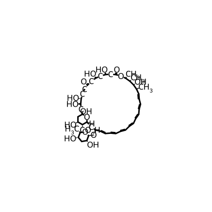 C[C@@H]1[C@H](O)[C@@H](C)/C=C/C=C/C=C/C=C/C=C/C=C/C=C/C(O[C@@H]2O[C@H](C)[C@@H](O)C[C@H]2O)C[C@@H]2O[C@](O)(CC(O)[C@H](O)CCC(=O)CC(O)CC(O)CC(=O)O[C@H]1C)C[C@H](O)[C@H]2C(=O)O